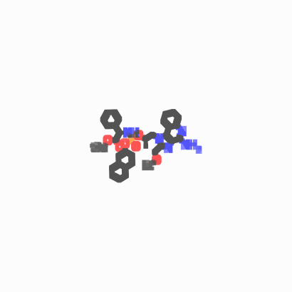 CCOCc1nc2c(N)nc3ccccc3c2n1C[C@@H](C)O[P@@](=O)(N[C@H](C(=O)OC(C)(C)C)c1ccccc1)Oc1ccc2ccccc2c1